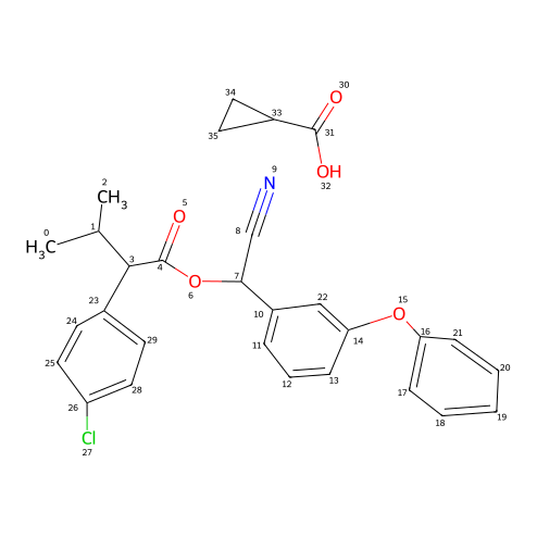 CC(C)C(C(=O)OC(C#N)c1cccc(Oc2ccccc2)c1)c1ccc(Cl)cc1.O=C(O)C1CC1